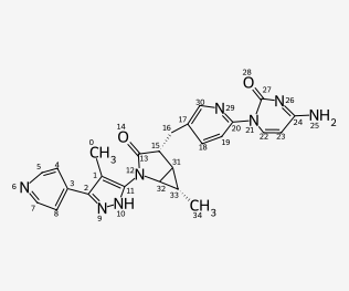 Cc1c(-c2ccncc2)n[nH]c1N1C(=O)[C@H](Cc2ccc(-n3ccc(N)nc3=O)nc2)C2C1[C@H]2C